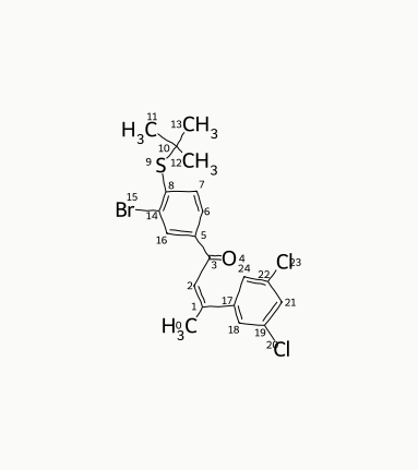 C/C(=C/C(=O)c1ccc(SC(C)(C)C)c(Br)c1)c1cc(Cl)cc(Cl)c1